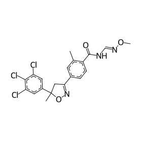 CON=CNC(=O)c1ccc(C2=NOC(C)(c3cc(Cl)c(Cl)c(Cl)c3)C2)cc1C